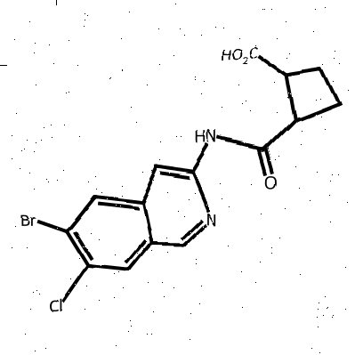 O=C(O)C1CCC1C(=O)Nc1cc2cc(Br)c(Cl)cc2cn1